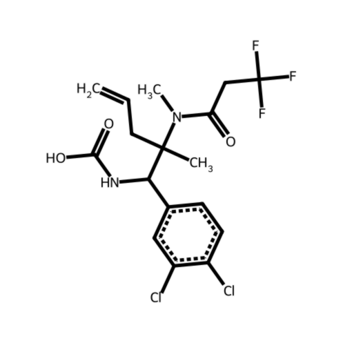 C=CCC(C)(C(NC(=O)O)c1ccc(Cl)c(Cl)c1)N(C)C(=O)CC(F)(F)F